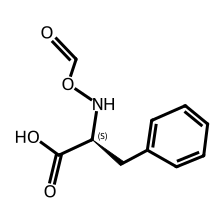 O=CON[C@@H](Cc1ccccc1)C(=O)O